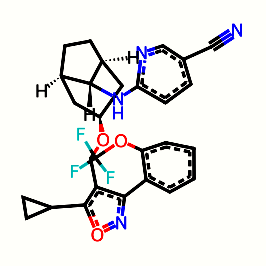 N#Cc1ccc(N[C@@H]2[C@@H]3CC[C@H]2C[C@@H](OCc2c(-c4ccccc4OC(F)(F)F)noc2C2CC2)C3)nc1